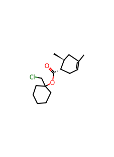 CC1=CC[C@H](C(=O)OC2(CCl)CCCCC2)[C@@H](C)C1